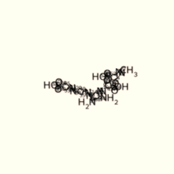 CN=Nc1ccc(-c2ccc(N=Nc3cc(N=Nc4ccc(N=Nc5ccc(S(=O)(=O)O)cc5)cc4)c(N)cc3N)cc2S(=O)(=O)O)c(S(=O)(=O)O)c1